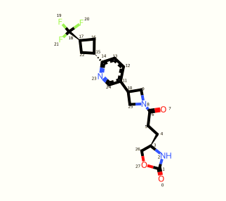 O=C1N[C@H](CCC(=O)N2CC(c3ccc([C@H]4C[C@H](C(F)(F)F)C4)nc3)C2)CO1